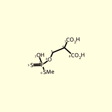 CSP(O)(=S)OCC(C(=O)O)C(=O)O